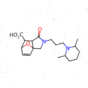 CC1CCCC(C)N1CCCN1CC23C=CC(O2)C(C(=O)O)C3C1=O